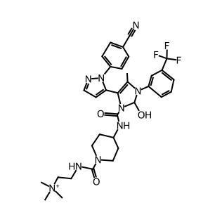 CC1=C(c2ccnn2-c2ccc(C#N)cc2)N(C(=O)NC2CCN(C(=O)NCC[N+](C)(C)C)CC2)C(O)N1c1cccc(C(F)(F)F)c1